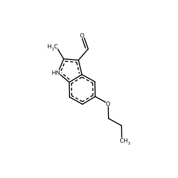 CCCOc1ccc2[nH]c(C)c(C=O)c2c1